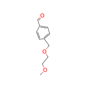 COCCOCc1ccc(C=O)cc1